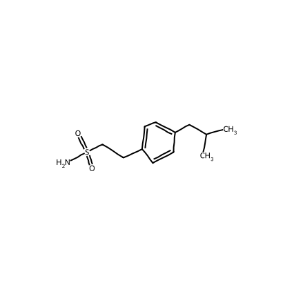 CC(C)Cc1ccc(CCS(N)(=O)=O)cc1